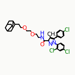 Cc1c(C(=O)NCCOCCOCCC2C3CC4CC(C3)CC2C4)nn(-c2ccc(Cl)cc2Cl)c1-c1ccc(Cl)cc1